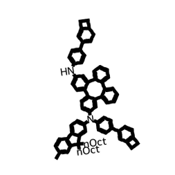 CCCCCCCCC1(CCCCCCCC)c2cc(C)ccc2-c2ccc(N(c3ccc(-c4ccc5c(c4)CC5)cc3)c3ccc4c(c3)-c3ccccc3-c3ccccc3-c3cc(Nc5ccc(C6=CCC7CCC7=C6)cc5)ccc3-4)cc21